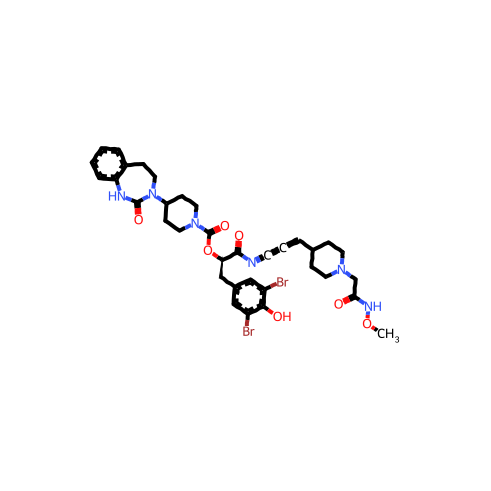 CONC(=O)CN1CCC(C=C=C=NC(=O)[C@@H](Cc2cc(Br)c(O)c(Br)c2)OC(=O)N2CCC(N3CCc4ccccc4NC3=O)CC2)CC1